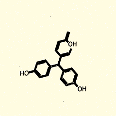 C=C(O)/C=C\C(=C/C)C(c1ccc(O)cc1)c1ccc(O)cc1